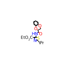 CCOC(=O)c1nc(C(C)C)sc1NC(=O)C1COc2ccccc2O1